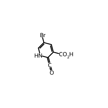 O=C=C1NC=C(Br)C=C1C(=O)O